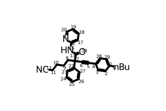 CCCCc1ccc(C#CC(CCCCC#N)(C(=O)Nc2ccccn2)c2ccccc2)cc1